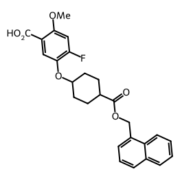 COc1cc(F)c(OC2CCC(C(=O)OCc3cccc4ccccc34)CC2)cc1C(=O)O